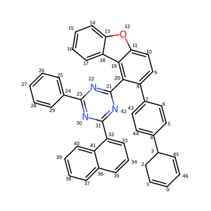 C1=CCC(c2ccc(-c3ccc4oc5ccccc5c4c3-c3nc(-c4ccccc4)nc(-c4cccc5ccccc45)n3)cc2)C=C1